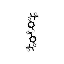 CC(Oc1ccc(OC(=O)c2ccc(OC(C)C3(C)CO3)cc2)cc1)C1(C)CO1